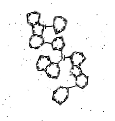 c1ccc(-c2cccc3c2sc2c(N(c4cccc(-c5cccc6c7ccccc7n(-c7ccccc7)c56)c4)c4cccc5ccccc45)cccc23)cc1